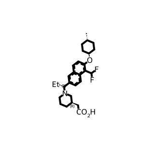 CC[C@H](c1ccc2c(C(F)F)c(O[C@H]3CC[C@@H](C)CC3)ccc2c1)N1CCC[C@H](CC(=O)O)C1